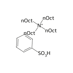 CCCCCCCC[N+](CCCCCCCC)(CCCCCCCC)CCCCCCCC.O=S(=O)(O)c1ccccc1